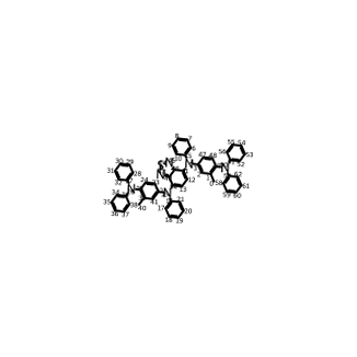 Cc1cc(N(c2ccccc2)c2ccc(N(c3ccccc3)c3ccc(N(c4ccccc4)c4ccccc4)c(C)c3)c3nsnc23)ccc1N(c1ccccc1)c1ccccc1